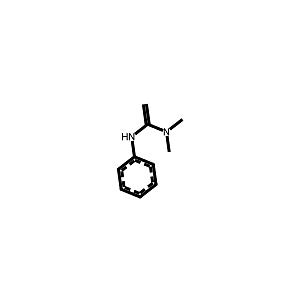 C=C(Nc1ccccc1)N(C)C